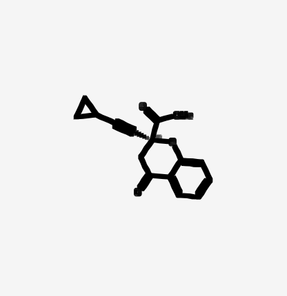 COC(=O)[C@]1(C#CC2CC2)CC(=O)c2ccccc2O1